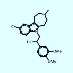 COc1ccc(C(O)Cn2c3c(c4cc(Cl)ccc42)CCN(C)CC3)cc1OC